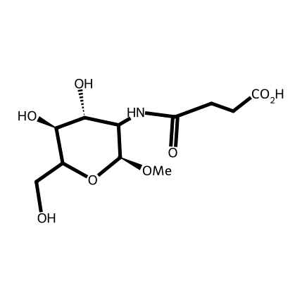 CO[C@H]1OC(CO)[C@@H](O)[C@H](O)C1NC(=O)CCC(=O)O